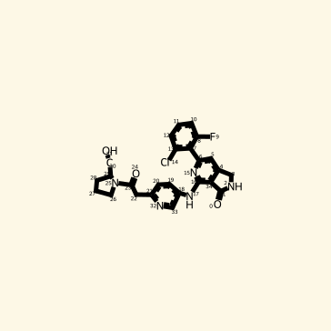 O=C1NCc2cc(-c3c(F)cccc3Cl)nc(Nc3ccc(CC(=O)N4CCCC4CO)nc3)c21